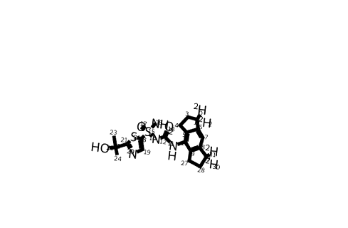 [2H]C1([2H])CCc2c1cc1c(c2NC(=O)N=S(N)(=O)c2cnc(C(C)(C)O)s2)CCC1([2H])[2H]